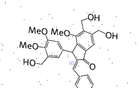 COc1cc(C2/C(=C/c3ccccc3)C(=O)c3cc(CO)c(CO)c(OC)c32)cc(CO)c1OC